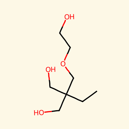 CCC(CO)(CO)COCCO